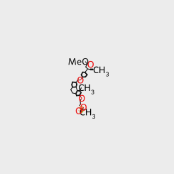 CC#CC(CC(=O)OC)c1ccc(OCc2ccc3c(c2)-c2c(C)cc(OCCCS(C)(=O)=O)cc2CC3)cc1